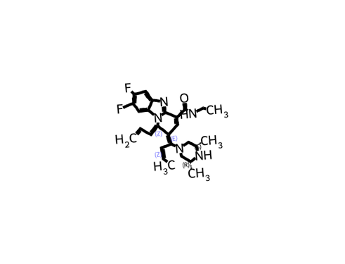 C=C/C=c1/c(=C(\C=C/C)N2C[C@@H](C)N[C@@H](C)C2)cc(C(=O)NCC)c2nc3cc(F)c(F)cc3n12